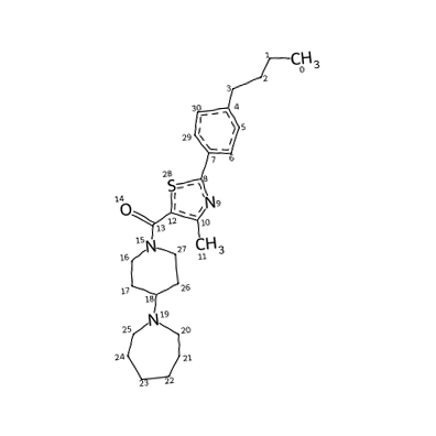 CCCCc1ccc(-c2nc(C)c(C(=O)N3CCC(N4CCCCCC4)CC3)s2)cc1